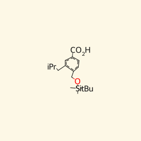 CC(C)Cc1cc(C(=O)O)ccc1CO[Si](C)(C)C(C)(C)C